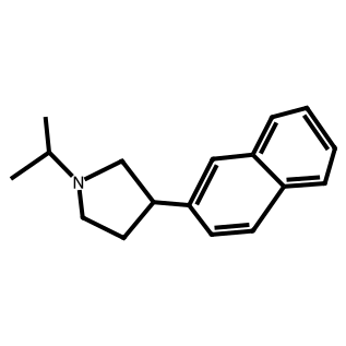 CC(C)N1CCC(c2ccc3ccccc3c2)C1